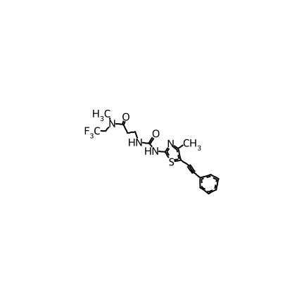 Cc1nc(NC(=O)NCCC(=O)N(C)CC(F)(F)F)sc1C#Cc1ccccc1